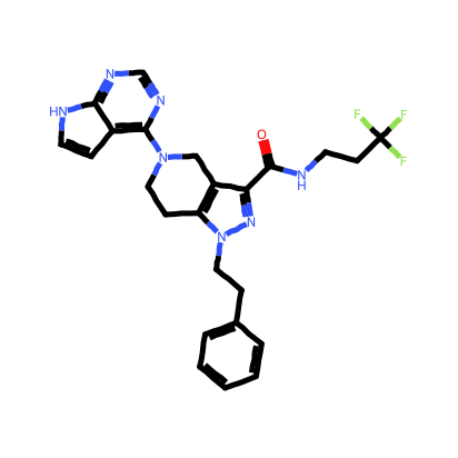 O=C(NCCC(F)(F)F)c1nn(CCc2ccccc2)c2c1CN(c1ncnc3[nH]ccc13)CC2